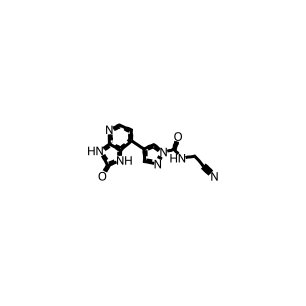 N#CCNC(=O)n1cc(-c2ccnc3[nH]c(=O)[nH]c23)cn1